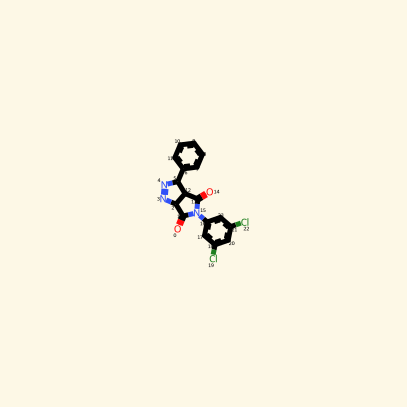 O=C1C2N=NC(c3ccccc3)C2C(=O)N1c1cc(Cl)cc(Cl)c1